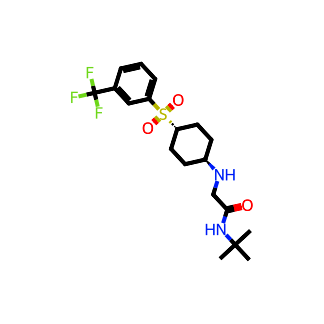 CC(C)(C)NC(=O)CN[C@H]1CC[C@H](S(=O)(=O)c2cccc(C(F)(F)F)c2)CC1